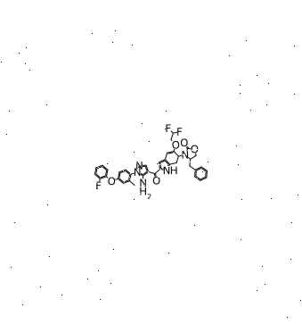 Cc1cc(Oc2ccccc2F)ccc1-n1ncc(C(=O)c2cc3c([nH]2)CC(N2C(=O)OCC2Cc2ccccc2)C(OCC(F)F)=C3)c1N